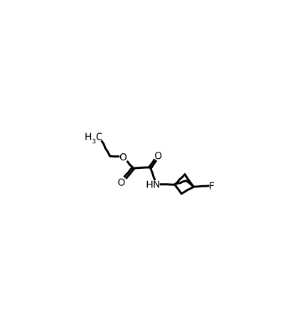 CCOC(=O)C(=O)NC12CC(F)(C1)C2